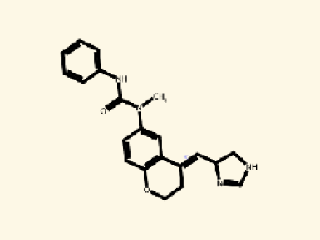 CN(C(=O)Nc1ccccc1)c1ccc2c(c1)/C(=C/C1CNC=N1)CCO2